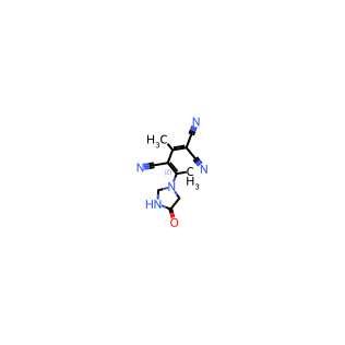 CC(=C(C#N)C#N)/C(C#N)=C(\C)N1CNC(=O)C1